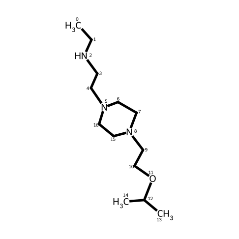 CCNCCN1CCN(CCOC(C)C)CC1